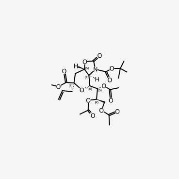 C=CC[C@]1(C(=O)OC)C[C@@H]2OC(=O)N(C(=O)OC(C)(C)C)[C@H]2[C@H]([C@H](OC(C)=O)[C@@H](COC(C)=O)OC(C)=O)O1